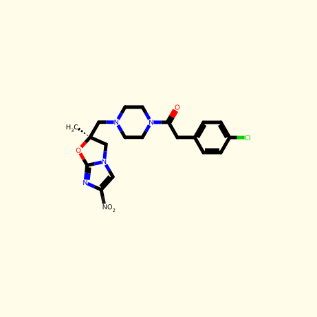 C[C@]1(CN2CCN(C(=O)Cc3ccc(Cl)cc3)CC2)Cn2cc([N+](=O)[O-])nc2O1